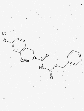 CCOc1ccc(COC(=O)NC(=O)OCc2ccccc2)c(OC)c1